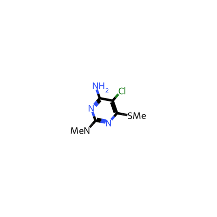 CNc1nc(N)c(Cl)c(SC)n1